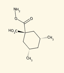 C[C@@H]1C[C@H](C)C[C@](C(=O)O)(C(=O)ON)C1